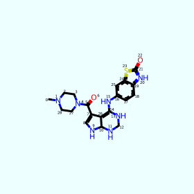 CN1CCN(C(=O)C2=CNC3NCNC(Nc4ccc5[nH]c(=O)sc5c4)=C23)CC1